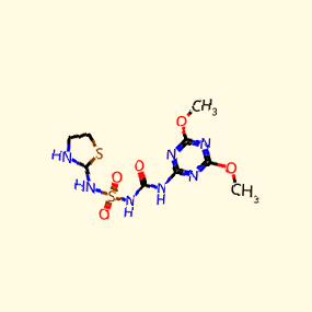 COc1nc(NC(=O)NS(=O)(=O)NC2NCCS2)nc(OC)n1